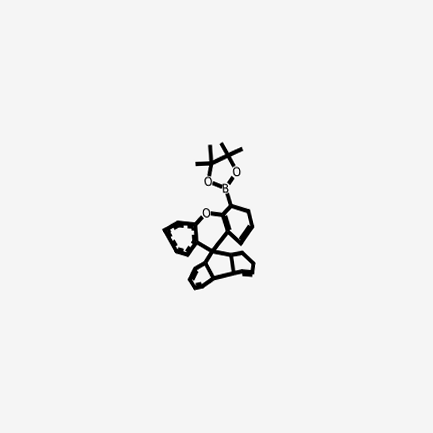 CC1(C)OB(C2CC=CC3=C2Oc2ccccc2C32C3C=CC=CC3C3C=CCCC32)OC1(C)C